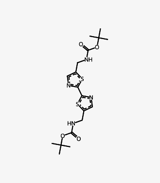 CC(C)(C)OC(=O)NCc1cnc(-c2ncc(CNC(=O)OC(C)(C)C)s2)s1